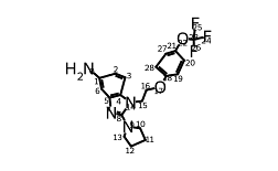 Nc1ccc2c(c1)nc(N1CCCC1)n2CCOc1ccc(OC(F)(F)F)cc1